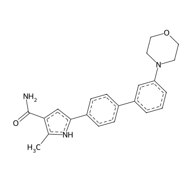 Cc1[nH]c(-c2ccc(-c3cccc(N4CCOCC4)c3)cc2)cc1C(N)=O